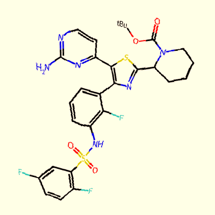 CC(C)(C)OC(=O)N1CCCCC1c1nc(-c2cccc(NS(=O)(=O)c3cc(F)ccc3F)c2F)c(-c2ccnc(N)n2)s1